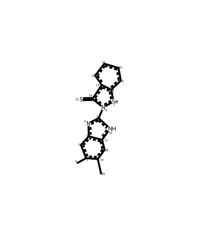 Cc1cc2nc(-n3[se]c4ccccc4c3=S)[nH]c2cc1C